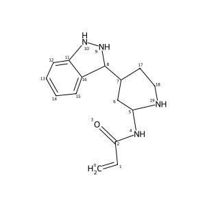 C=CC(=O)NC1CC(C2NNc3ccccc32)CCN1